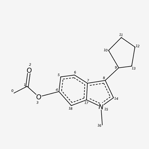 CC(=O)Oc1ccc2c(C3CCCC3)cn(C)c2c1